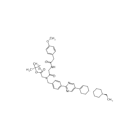 CC[C@H]1CC[C@H](C2CC=C(c3cnc(-c4ccc(CN(CC(=O)OC(C)(C)C)C(=O)CNC(=O)Cc5ccc(OC)cc5)cc4)nc3)CC2)CC1